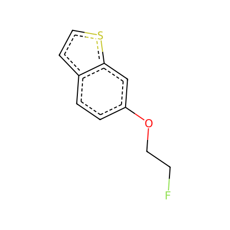 FCCOc1ccc2ccsc2c1